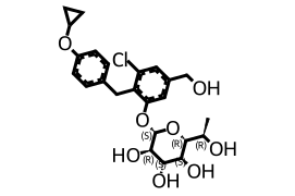 C[C@@H](O)[C@H]1O[C@@H](Oc2cc(CO)cc(Cl)c2Cc2ccc(OC3CC3)cc2)[C@H](O)[C@@H](O)[C@@H]1O